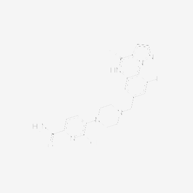 Cc1nc(C(N)=O)ccc1N1CCN(Cc2cc(F)c3c(c2)[nH]c(=O)c2ccnn23)CC1